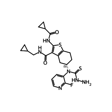 NNC(=S)N(c1cccnc1F)[C@H]1CCc2sc(NC(=O)C3CC3)c(C(=O)NCC3CC3)c2C1